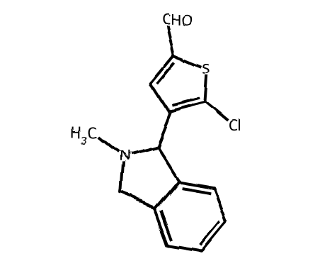 CN1Cc2ccccc2C1c1cc(C=O)sc1Cl